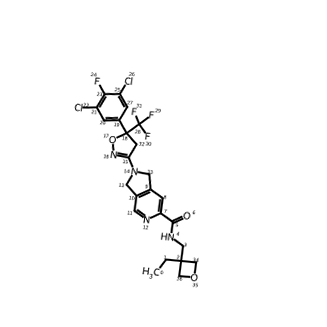 CCC1(CNC(=O)c2cc3c(cn2)CN(C2=NOC(c4cc(Cl)c(F)c(Cl)c4)(C(F)(F)F)C2)C3)COC1